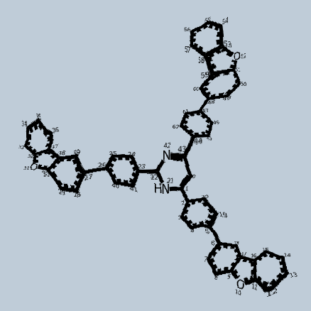 C1=C(c2ccc(-c3ccc4oc5ccccc5c4c3)cc2)NC(c2ccc(-c3ccc4oc5ccccc5c4c3)cc2)N=C1c1ccc(-c2ccc3oc4ccccc4c3c2)cc1